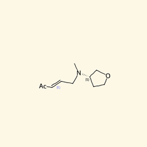 CC(=O)/C=C/CN(C)[C@H]1CCOC1